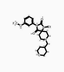 CCN1C(=O)N(c2cccc(OC(F)(F)F)c2)C(=O)C12CCN(CC1CCOCC1)CC2